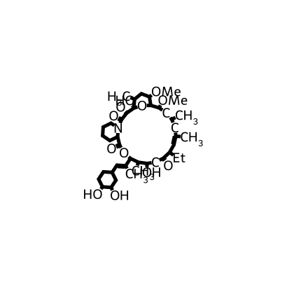 CCC1C=C(C)CC(C)CC(OC)C2OC(O)(C(=O)C(=O)N3CCCCC3C(=O)OC(C(C)=CC3CCC(O)C(O)C3)C(C)C(O)CC1=O)C(C)CC2OC